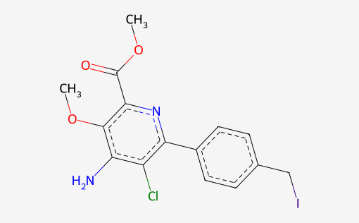 COC(=O)c1nc(-c2ccc(CI)cc2)c(Cl)c(N)c1OC